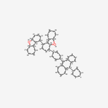 c1ccc(-c2c3ccccc3c(-c3ccc(-c4ccc(-c5cccc6oc7ccccc7c56)c5c4oc4ccccc45)cc3)c3ccccc23)cc1